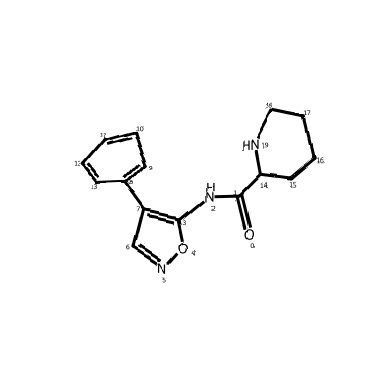 O=C(Nc1oncc1-c1ccccc1)C1CCCCN1